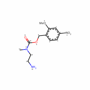 COc1cc([N+](=O)[O-])ccc1COC(=O)N(C)CCN